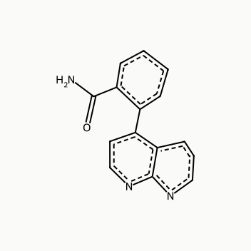 NC(=O)c1ccccc1-c1ccnc2ncccc12